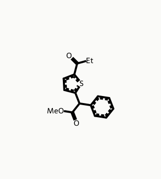 CCC(=O)c1ccc(C(C(=O)OC)c2ccccc2)s1